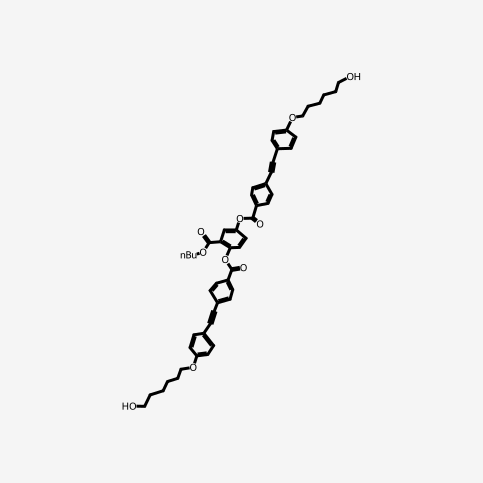 CCCCOC(=O)c1cc(OC(=O)c2ccc(C#Cc3ccc(OCCCCCCO)cc3)cc2)ccc1OC(=O)c1ccc(C#Cc2ccc(OCCCCCCO)cc2)cc1